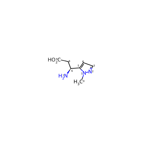 Cn1nccc1[C@@H](N)CC(=O)O